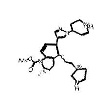 COC(=O)N1c2ccc(-c3cnn(C4CCNCC4)c3)c(OCC[C@H]3CCNC3)c2CC[C@@H]1C